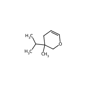 CC(C)C1(C)CC=COC1